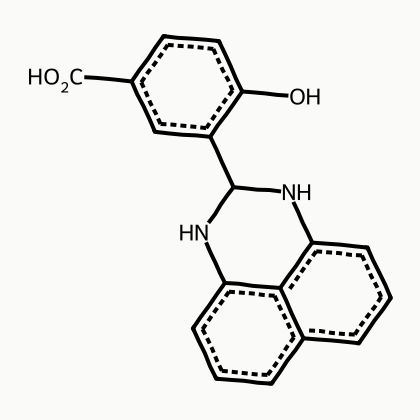 O=C(O)c1ccc(O)c(C2Nc3cccc4cccc(c34)N2)c1